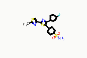 Cc1nc(-c2nc(-c3ccc(F)cc3)c(-c3ccc(S(N)(=O)=O)cc3)s2)cs1